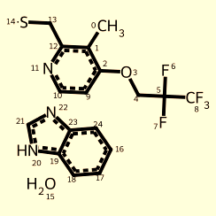 Cc1c(OCC(F)(F)C(F)(F)F)ccnc1C[S].O.c1ccc2[nH]cnc2c1